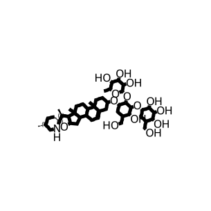 CC1OC(OC2C(OC3CCC4(C)C(=CCC5C4CCC4(C)C5CC5O[C@]6(CC[C@@H](C)CN6)[C@@H](C)C54)C3)CC(CO)C(O)C2OC2CC(CO)C(O)C(O)C2O)C(O)C(O)C1O